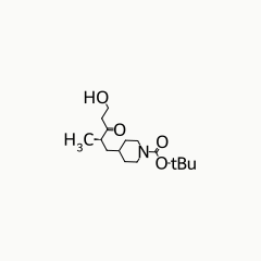 C[C@H](CC1CCN(C(=O)OC(C)(C)C)CC1)C(=O)CCO